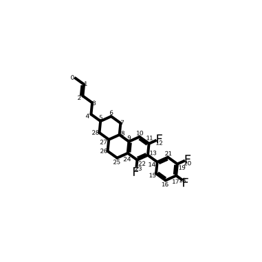 CC=CCCC1CCC2c3cc(F)c(-c4ccc(F)c(F)c4)c(F)c3CCC2C1